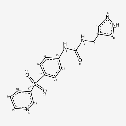 O=C(NCc1cn[nH]c1)Nc1ccc(S(=O)(=O)c2cccnc2)cc1